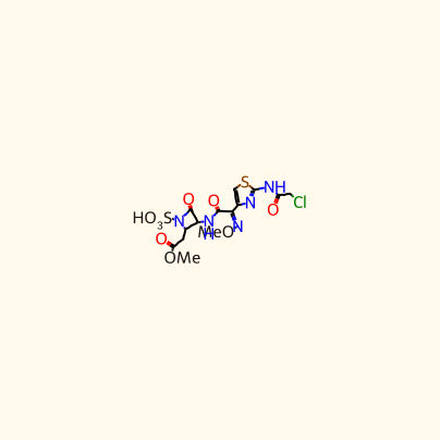 CON=C(C(=O)NC1C(=O)N(S(=O)(=O)O)C1CC(=O)OC)c1csc(NC(=O)CCl)n1